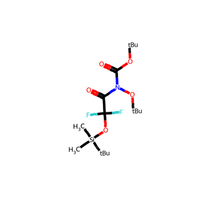 CC(C)(C)OC(=O)N(OC(C)(C)C)C(=O)C(F)(F)O[Si](C)(C)C(C)(C)C